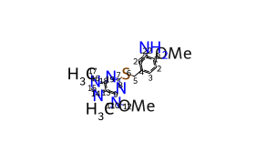 COc1ccc(CSc2nc(N(C)OC)c3ncn(C)c3n2)cc1N